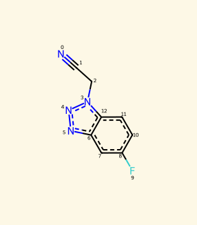 N#CCn1nnc2cc(F)ccc21